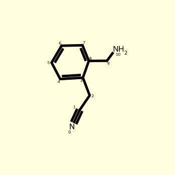 N#CCc1ccccc1CN